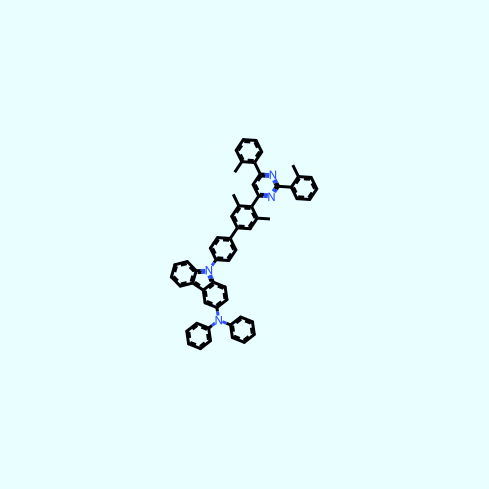 Cc1ccccc1-c1cc(-c2c(C)cc(-c3ccc(-n4c5ccccc5c5cc(N(c6ccccc6)c6ccccc6)ccc54)cc3)cc2C)nc(-c2ccccc2C)n1